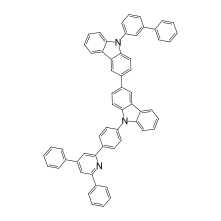 c1ccc(-c2cccc(-n3c4ccccc4c4cc(-c5ccc6c(c5)c5ccccc5n6-c5ccc(-c6cc(-c7ccccc7)cc(-c7ccccc7)n6)cc5)ccc43)c2)cc1